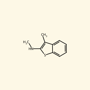 CNc1sc2ccccc2c1C